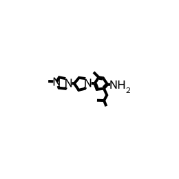 Cc1cc(N)c(CC(C)C)cc1N1CCC(N2CCN(C)CC2)CC1